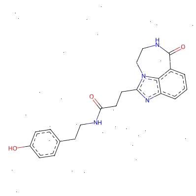 O=C(CCc1nc2cccc3c2n1CCNC3=O)NCCc1ccc(O)cc1